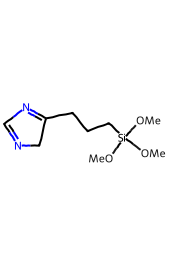 CO[Si](CCCC1=NC=NC1)(OC)OC